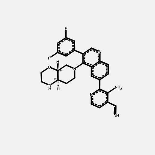 N=Cc1ccnc(-c2ccc3ncc(-c4cc(F)cc(F)c4)c(N4CC[C@H]5NCCO[C@@H]5C4)c3c2)c1N